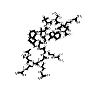 CC(=O)N[C@@H](CS)C(=O)N[C@H](CCCNC(=N)N)C(=O)N[C@@H](CCCNC(=N)N)C(=O)N[C@@H](CCCNC(=N)N)C(=O)N[C@@H](Cc1ccc2ccccc2c1)C(=O)N[C@@H](Cc1csc2ccccc12)C(=O)N[C@H](C(=O)N[C@H](C(=O)N[C@H](C(=O)N[C@@H](CCCNC(=N)N)C(=O)N[C@H](C(=O)O)C(C)(C)C)[C@@H](C)O)C(C)(C)C)C(C)(C)S